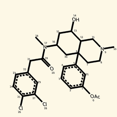 CC(=O)Oc1cccc(C23CCN(C)CC2C(O)CC(N(C)C(=O)Cc2ccc(Cl)c(Cl)c2)C3)c1